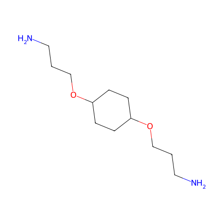 NCCCOC1CCC(OCCCN)CC1